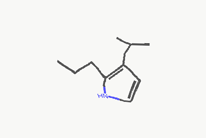 CCCc1[nH]ccc1C(C)C